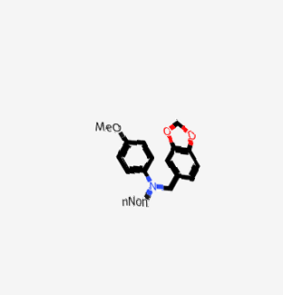 CCCCCCCCCN(Cc1ccc2c(c1)OCO2)c1ccc(OC)cc1